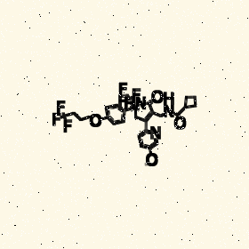 COc1ccc(C2=C(CNC(=O)C3CCC3)C(=O)N[C@@](c3ccc(OCCCC(F)(F)F)cc3)(C(F)(F)F)C2)nc1